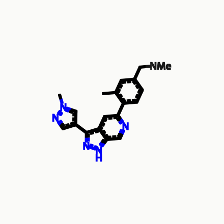 CNCc1ccc(-c2cc3c(-c4cnn(C)c4)n[nH]c3cn2)c(C)c1